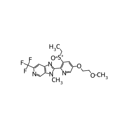 CC[S+]([O-])c1cc(OCCOC)cnc1-c1nc2cc(C(F)(F)F)ncc2n1C